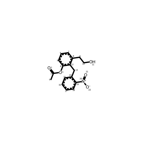 CC(=O)Oc1cccc(CCO)c1Cc1ccccc1[N+](=O)[O-]